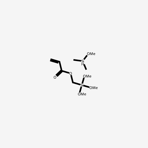 C=CC(=O)OC[Si](OC)(OC)OC.CO[SiH](C)C